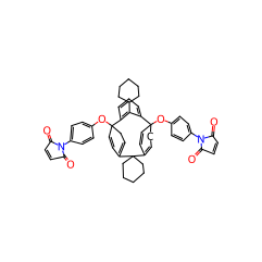 O=C1C=CC(=O)N1c1ccc(OC23C=CC(=CC2)C2(CCCCC2)C2=CCC(Oc4ccc(N5C(=O)C=CC5=O)cc4)(C=C2)c2cccc3c2C2CCCCC2)cc1